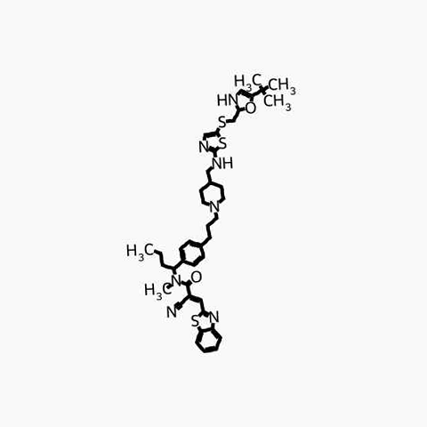 CCCC(c1ccc(CCCN2CCC(CNc3ncc(SCC4NC=C(C(C)(C)C)O4)s3)CC2)cc1)N(C)C(=O)/C(C#N)=C/c1nc2ccccc2s1